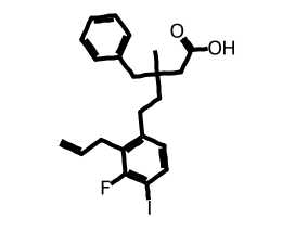 C=CCc1c(CCC(C)(CC(=O)O)Cc2ccccc2)ccc(I)c1F